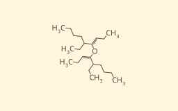 CCC=C(OC(=CCC)C(CC)CCCC)C(CC)CCCC